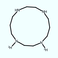 [2H]N1CCCNCCNCCCN([2H])CC1